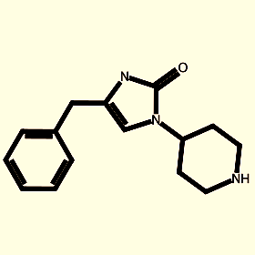 O=C1[N]C(Cc2ccccc2)=CN1C1CCNCC1